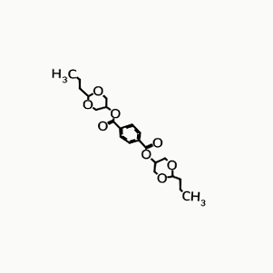 CCCC1OCC(OC(=O)c2ccc(C(=O)OC3COC(CCC)OC3)cc2)CO1